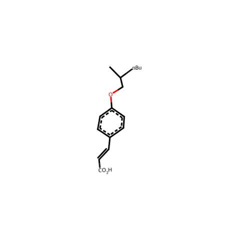 CCCCC(C)COc1ccc(C=CC(=O)O)cc1